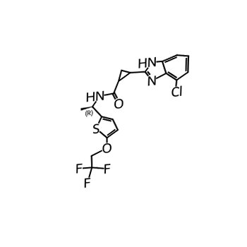 C[C@@H](NC(=O)C1CC1c1nc2c(Cl)cccc2[nH]1)c1ccc(OCC(F)(F)F)s1